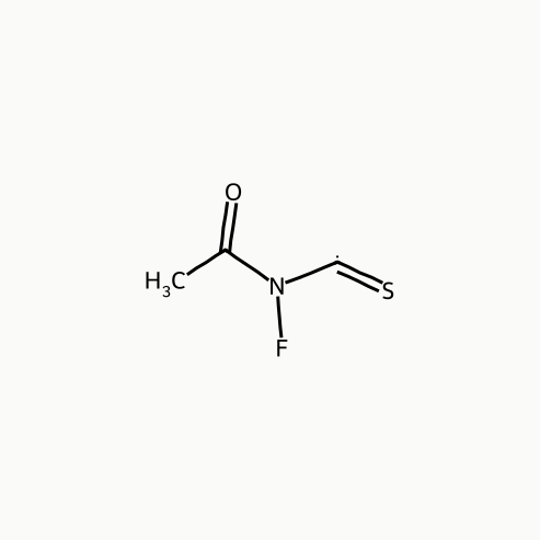 CC(=O)N(F)[C]=S